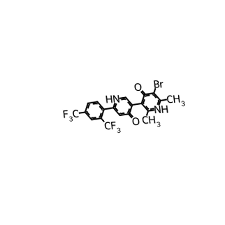 Cc1[nH]c(C)c(-c2c[nH]c(-c3ccc(C(F)(F)F)cc3C(F)(F)F)cc2=O)c(=O)c1Br